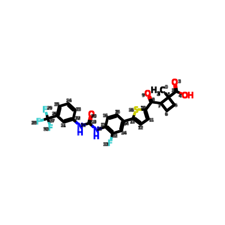 CC1(C(=O)O)CCC1C(=O)c1ccc(-c2ccc(NC(=O)Nc3cccc(C(F)(F)F)c3)c(F)c2)s1